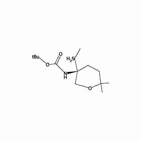 C[SiH2][C@]1(NC(=O)OC(C)(C)C)CCC(C)(C)OC1